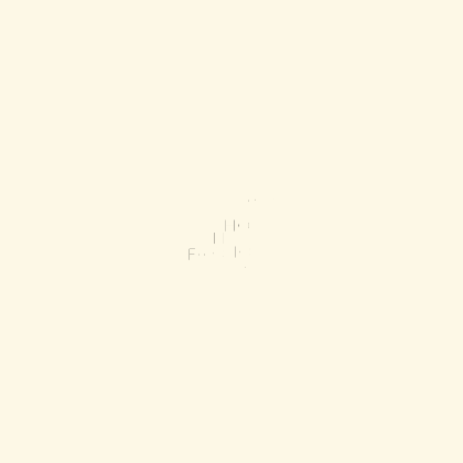 [Fe+3].[Fe].[OH-].[OH-].[OH-]